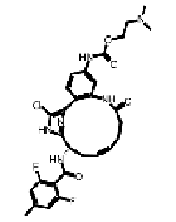 Cc1cc(F)c(C(=O)N[C@H]2CC=CCCC(=O)Nc3cc(NC(=O)OCCN(C)C)ccc3-c3nc2[nH]c3Cl)c(F)c1